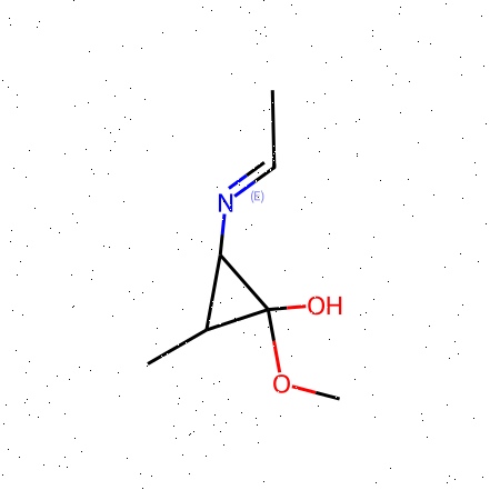 C/C=N/C1C(C)C1(O)OC